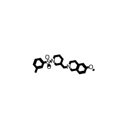 COc1ccc2c(c1)CCN(CC1CCCN(S(=O)(=O)c3cccc(C)c3)C1)C2